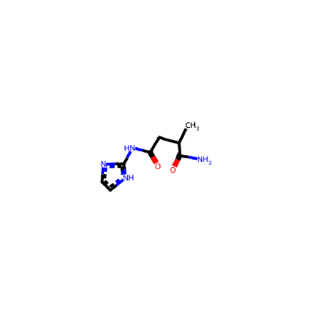 CC([CH]C(=O)Nc1ncc[nH]1)C(N)=O